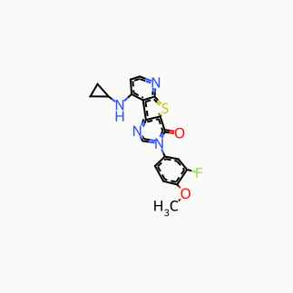 COc1ccc(-n2cnc3c(sc4nccc(NC5CC5)c43)c2=O)cc1F